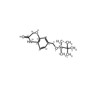 CC(C)(C)[Si](C)(C)OCc1ccc2c(c1)OCC(=O)N2